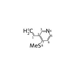 C=Cc1cnccc1SC